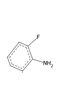 Nc1[c]cccc1F